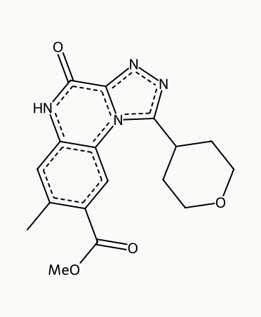 COC(=O)c1cc2c(cc1C)[nH]c(=O)c1nnc(C3CCOCC3)n12